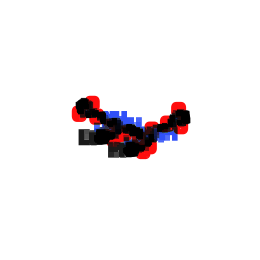 CCc1ccc(C(=O)NC(=O)C(CC(=O)NCCOCCN2C(=O)C=CC2=O)NC(=O)CCCC(=O)NC(CC(=O)NCCOCCN2C(=O)C=CC2=O)C(=O)NC(=O)c2ccc(CC)cc2)cc1